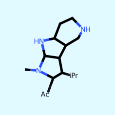 CC(=O)C1C(C(C)C)C2C3CNCCC3NC2N1C